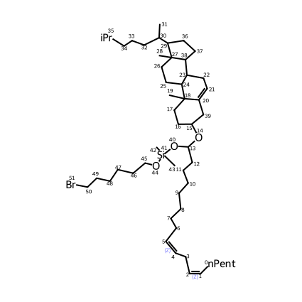 CCCCC/C=C\C/C=C\CCCCCCCC(OC1CCC2(C)C(=CCC3C2CCC2(C)C(C(C)CCCC(C)C)CCC32)C1)O[Si](C)(C)OCCCCCCBr